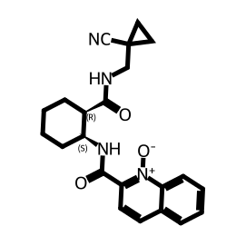 N#CC1(CNC(=O)[C@@H]2CCCC[C@@H]2NC(=O)c2ccc3ccccc3[n+]2[O-])CC1